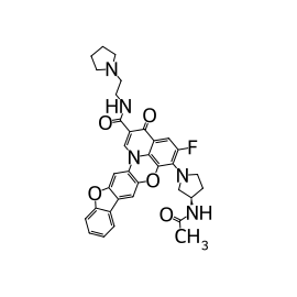 CC(=O)N[C@@H]1CCN(c2c(F)cc3c(=O)c(C(=O)NCCN4CCCC4)cn4c3c2Oc2cc3c(cc2-4)oc2ccccc23)C1